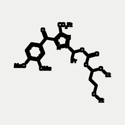 CCOCCC(OCC)OC(=O)OC(C(C)C)n1nc(C(=O)OCC)c(C(=O)c2ccc(OC)c(OC)c2)n1